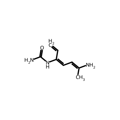 C=C/C(=C\C=C(/C)N)NC(N)=O